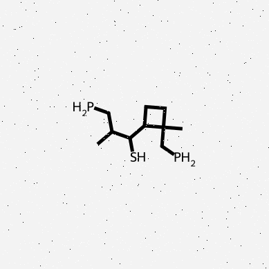 CC(CP)C(S)C1CCC1(C)CP